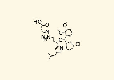 COc1cccc(C2OC(CCn3nnc(CC(=O)O)n3)c3cc(C=C(C)C)cn3-c3ccc(Cl)cc32)c1OC